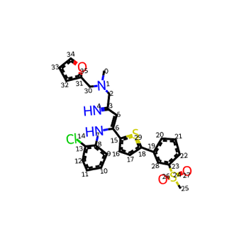 CN(CC(=N)/C=C(\Nc1ccccc1Cl)c1ccc(-c2cccc(S(C)(=O)=O)c2)s1)Cc1ccco1